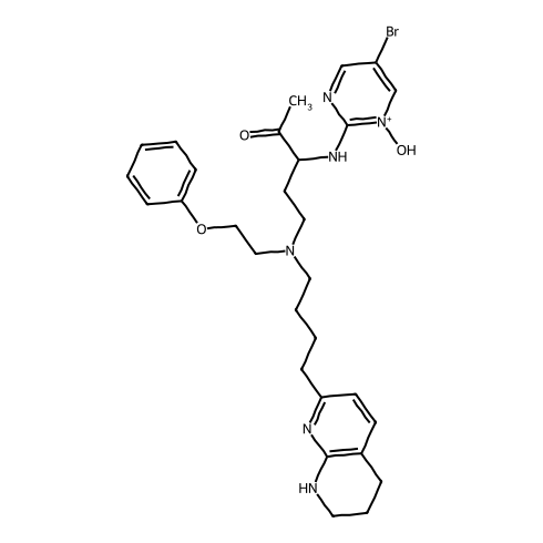 CC(=O)C(CCN(CCCCc1ccc2c(n1)NCCC2)CCOc1ccccc1)Nc1ncc(Br)c[n+]1O